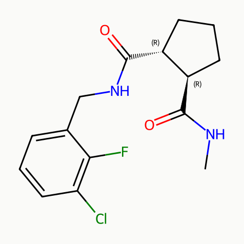 CNC(=O)[C@@H]1CCC[C@H]1C(=O)NCc1cccc(Cl)c1F